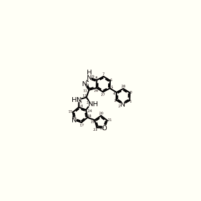 c1cncc(-c2ccc3[nH]nc(C4Nc5cncc(-c6ccoc6)c5N4)c3c2)c1